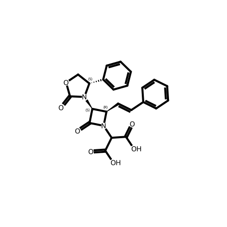 O=C(O)C(C(=O)O)N1C(=O)[C@@H](N2C(=O)OC[C@@H]2c2ccccc2)[C@H]1C=Cc1ccccc1